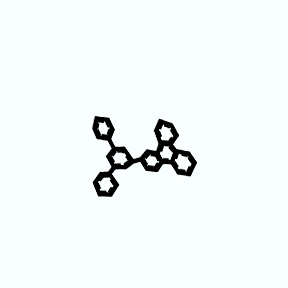 c1ccc(-c2cc(-c3ccccc3)cc(-c3ccc4c5ccccc5c5ccccc5c4c3)c2)cc1